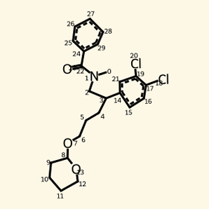 CN(CC(CCCOC1CCCCO1)c1ccc(Cl)c(Cl)c1)C(=O)c1ccccc1